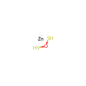 SOS.[Zn]